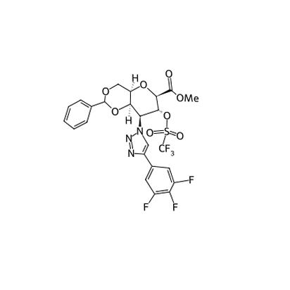 COC(=O)[C@@H]1O[C@@H]2COC(c3ccccc3)O[C@@H]2[C@H](n2cc(-c3cc(F)c(F)c(F)c3)nn2)[C@H]1OS(=O)(=O)C(F)(F)F